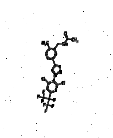 CC(=O)NCc1cc(-c2cnn(-c3c(Cl)cc(C(F)(C(F)(F)F)C(F)(F)F)cc3Cl)c2)ccc1C